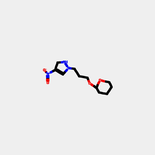 O=[N+]([O-])C1=CN(CCCOC2CCCCO2)NC1